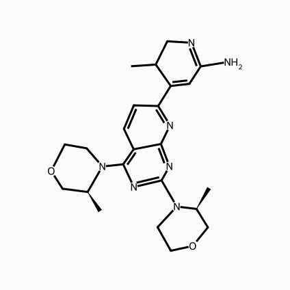 CC1CN=C(N)C=C1c1ccc2c(N3CCOC[C@@H]3C)nc(N3CCOC[C@@H]3C)nc2n1